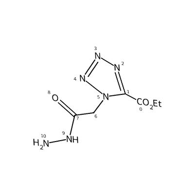 CCOC(=O)c1nnnn1CC(=O)NN